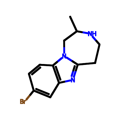 CC1Cn2c(nc3cc(Br)ccc32)CCN1